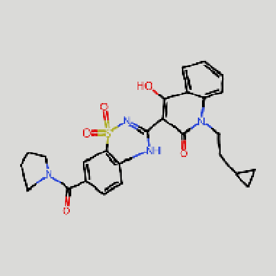 O=C(c1ccc2c(c1)S(=O)(=O)N=C(c1c(O)c3ccccc3n(CCC3CC3)c1=O)N2)N1CCCC1